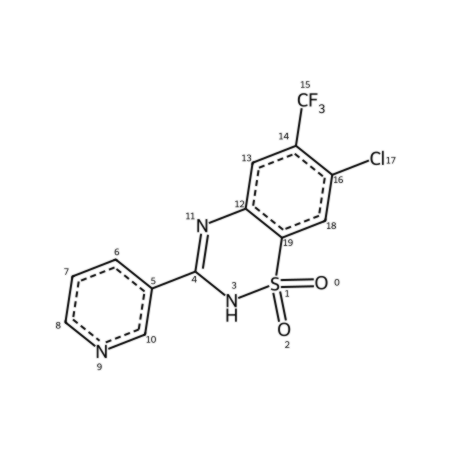 O=S1(=O)NC(c2cccnc2)=Nc2cc(C(F)(F)F)c(Cl)cc21